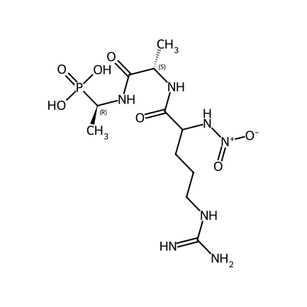 C[C@H](NC(=O)C(CCCNC(=N)N)N[N+](=O)[O-])C(=O)N[C@@H](C)P(=O)(O)O